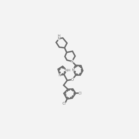 Clc1cc(Cl)cc(CC(Oc2cccc(N3CCC(C4CCNCC4)CC3)n2)c2ncc[nH]2)c1